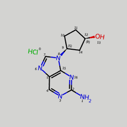 Cl.Nc1ncc2ncn([C@H]3CC[C@@H](O)C3)c2n1